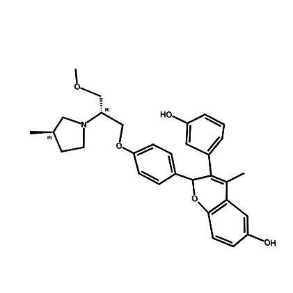 COC[C@H](COc1ccc(C2Oc3ccc(O)cc3C(C)=C2c2cccc(O)c2)cc1)N1CC[C@@H](C)C1